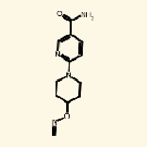 C=NOC1CCN(c2ccc(C(N)=O)cn2)CC1